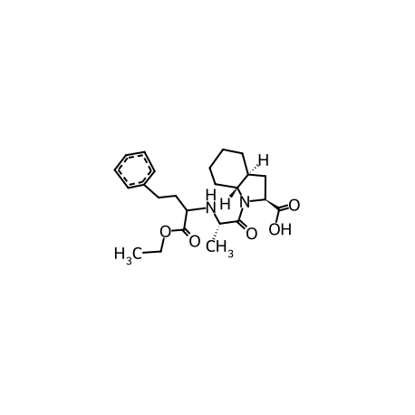 CCOC(=O)C(CCc1ccccc1)N[C@@H](C)C(=O)N1[C@@H]2CCCC[C@H]2C[C@H]1C(=O)O